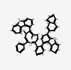 CCC1/C=C(c2ccccc2)\N=C(\c2ccccc2-c2ccc(-c3ccc4ccccc4c3)c3oc4ccccc4c23)CC/C(C)=C/1c1cccc2sc3ccccc3c12